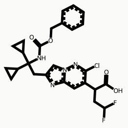 O=C(NC(Cc1cn2nc(Cl)c(C(CC(F)F)C(=O)O)cc2n1)(C1CC1)C1CC1)OCc1ccccc1